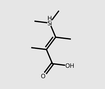 CC(C(=O)O)=C(C)[SiH](C)C